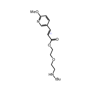 COc1ccc(/C=C/C(=O)OCCOCCNC(C)(C)C)cn1